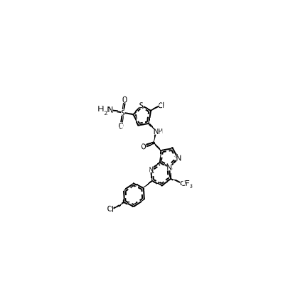 NS(=O)(=O)c1cc(NC(=O)c2cnn3c(C(F)(F)F)cc(-c4ccc(Cl)cc4)nc23)c(Cl)s1